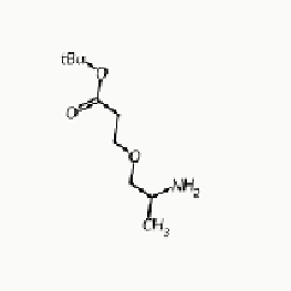 CC(N)COCCC(=O)OC(C)(C)C